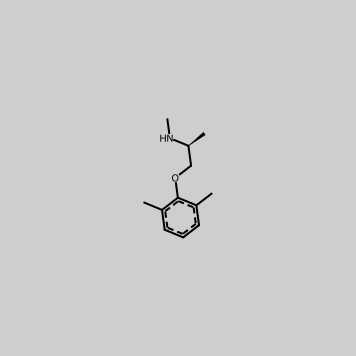 CN[C@@H](C)COc1c(C)cccc1C